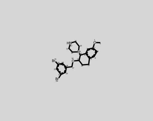 COc1ccc2c(c1)C(N1CCNCC1)C(OCc1cc(Br)cc(Br)c1)CC2